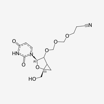 N#CCCOCOCOC1C2C[C@]2(CO)O[C@H]1n1ccc(=O)[nH]c1=O